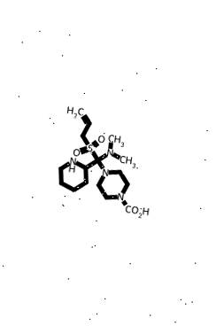 C=CCS(=O)(=O)C(C1CCCCN1)(N(C)C)N1CCN(C(=O)O)CC1